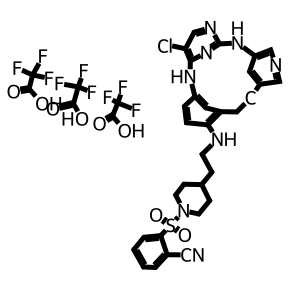 N#Cc1ccccc1S(=O)(=O)N1CCC(CCNc2ccc3cc2CCc2cncc(c2)Nc2ncc(Cl)c(n2)N3)CC1.O=C(O)C(F)(F)F.O=C(O)C(F)(F)F.O=C(O)C(F)(F)F